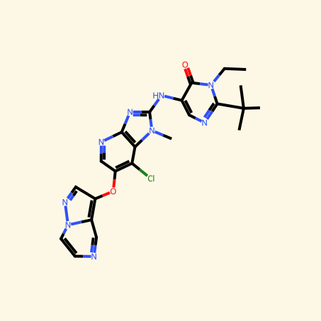 CCn1c(C(C)(C)C)ncc(Nc2nc3ncc(Oc4cnn5ccncc45)c(Cl)c3n2C)c1=O